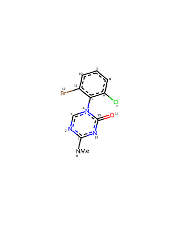 CNc1ncn(-c2c(Cl)cccc2Br)c(=O)n1